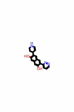 Oc1cc2cc(O)c(C3C=CNCC3)cc2cc1-c1cccnn1